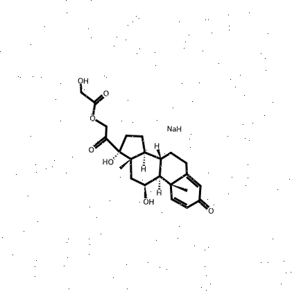 C[C@]12C=CC(=O)C=C1CC[C@@H]1[C@@H]2[C@@H](O)C[C@@]2(C)[C@H]1CC[C@]2(O)C(=O)COC(=O)CO.[NaH]